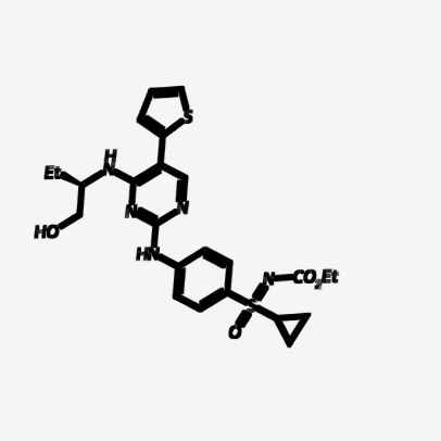 CCOC(=O)N=S(=O)(c1ccc(Nc2ncc(-c3cccs3)c(N[C@H](CC)CO)n2)cc1)C1CC1